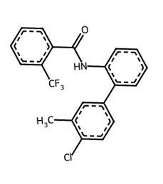 Cc1cc(-c2ccccc2NC(=O)c2ccccc2C(F)(F)F)ccc1Cl